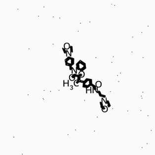 CC(=C1Oc2ccccc2N(Cc2ccc(N3CCOCC3)cc2)C1=O)c1ccc(C(=O)NCCCN2CCOCC2)cc1